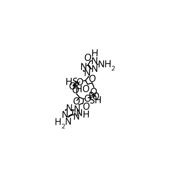 Nc1nc2c(ncn2C2OC3COP(=O)(S)OC4C(COP(=O)(S)OC2C3O)OC(n2nnc3c(N)ncnc32)C4O)c(=O)[nH]1